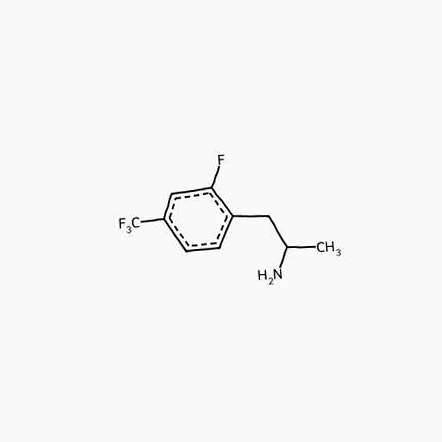 CC(N)Cc1ccc(C(F)(F)F)cc1F